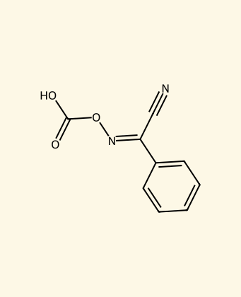 N#CC(=NOC(=O)O)c1ccccc1